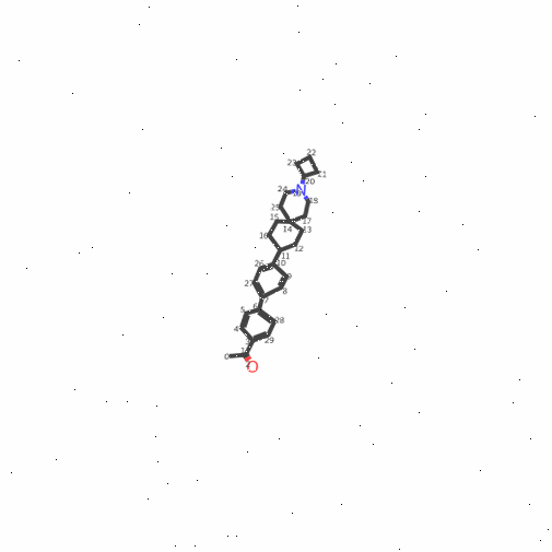 CC(=O)c1ccc(-c2ccc(C3CCC4(CC3)CCN(C3CCC3)CC4)cc2)cc1